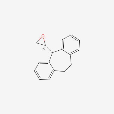 c1ccc2c(c1)CCc1ccccc1C2[C@@H]1CO1